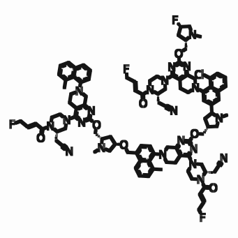 Cc1cccc2cccc(N3CCc4c(nc(OC[C@@H]5C[C@@H](OCc6ccc(N7CCc8c(nc(OC[C@@H]9CC(c%10cc(N%11CCc%12c(nc(OC[C@@H]%13C[C@@H](F)CN%13C)nc%12N%12CCN(C(=O)/C=C/CF)[C@@H](CC#N)C%12)C%11)c%11c(Cl)cccc%11c%10)N(C)C9)nc8N8CCN(C(=O)/C=C/CF)[C@@H](CC#N)C8)C7)c7c(C)cccc67)CN5C)nc4N4CCN(C(=O)/C=C/CF)[C@@H](CC#N)C4)C3)c12